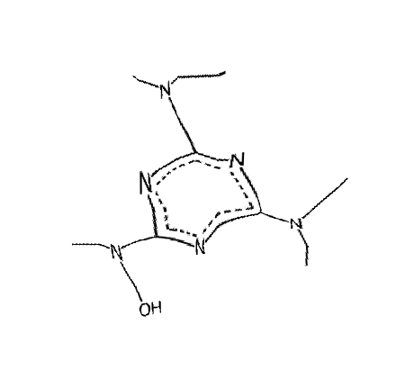 CN(C)c1nc(N(C)C)nc(N(C)O)n1